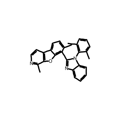 Cc1cccc(C)c1-n1c(-c2c(C)ccc3c2oc2c(C)nccc23)nc2ccccc21